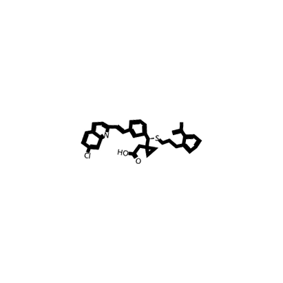 C=C(C)c1ccccc1CCCS[C@@H](c1cccc(C=Cc2ccc3ccc(Cl)cc3n2)c1)C1(CC(=O)O)CC1